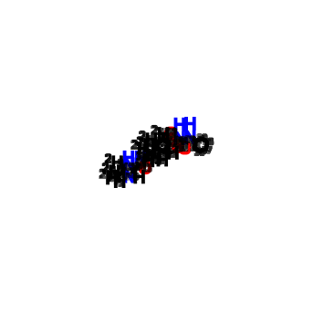 [2H]c1nc(C([2H])([2H])[2H])c([2H])nc1C(=O)NC([2H])([2H])C([2H])([2H])c1c([2H])c([2H])c(S(=O)(=O)NC(=O)NC2CCCCC2)c([2H])c1[2H]